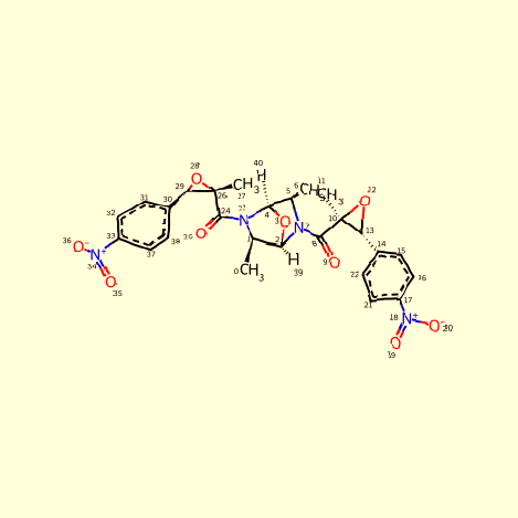 C[C@@H]1[C@H]2O[C@H]([C@@H](C)N2C(=O)[C@@]2(C)O[C@@H]2c2ccc([N+](=O)[O-])cc2)N1C(=O)[C@@]1(C)O[C@@H]1c1ccc([N+](=O)[O-])cc1